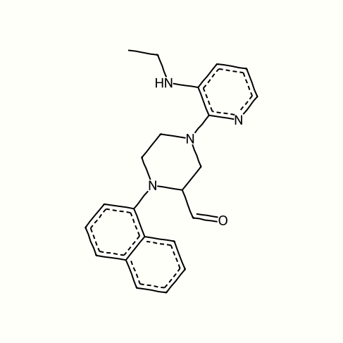 CCNc1cccnc1N1CCN(c2cccc3ccccc23)C(C=O)C1